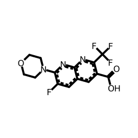 O=C(O)c1cc2cc(F)c(N3CCOCC3)nc2nc1C(F)(F)F